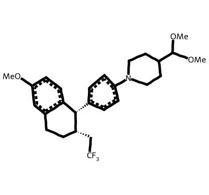 COc1ccc2c(c1)CC[C@@H](CC(F)(F)F)[C@H]2c1ccc(N2CCC(C(OC)OC)CC2)cc1